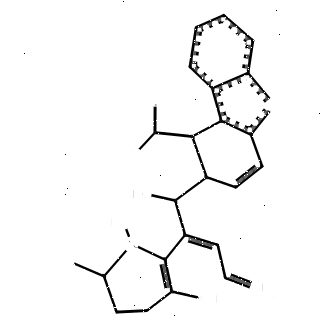 C=C/C=C(\C1=C(C)CCC(C)N1C)C(C)C1C=Cc2sc3ccccc3c2C1C(C)C(C)C